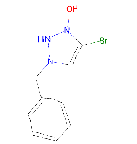 ON1NN(Cc2ccccc2)C=C1Br